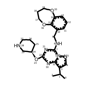 CC(C)c1cnn2c(NCc3cccc4c3OCCCO4)nc(O[C@@H]3CCCNC3)nc12